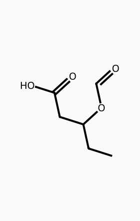 CCC(CC(=O)O)OC=O